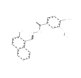 COc1cc(C(=O)N/N=C/c2c(O)ccc3ccccc23)ccc1O